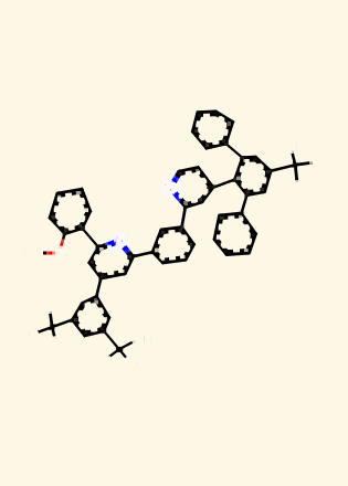 COc1ccccc1-c1cc(-c2cc(C(C)(C)C)cc(C(C)(C)C)c2)cc(-c2cccc(-c3cc(-c4c(-c5ccccc5)cc(C(C)(C)C)cc4-c4ccccc4)ccn3)c2)n1